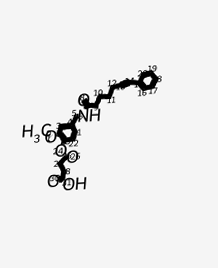 COc1cc(CNC(=O)CCCCC#Cc2ccccc2)ccc1OC(=O)CCC(=O)O